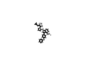 N#CC(=CC1CC1)C(=O)N1CCC[C@H]1Cn1cc(-c2ccc(Oc3ccccc3)cc2)c2c(N)ncnc21